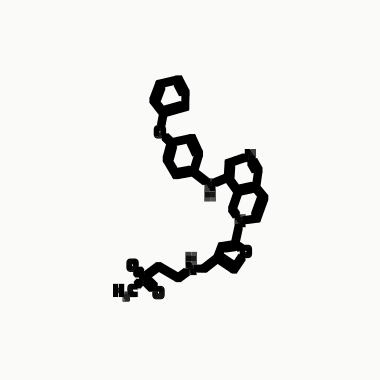 CS(=O)(=O)CCNCc1coc(N2C=Cc3cncc(Nc4ccc(Oc5ccccc5)cc4)c3C2)c1